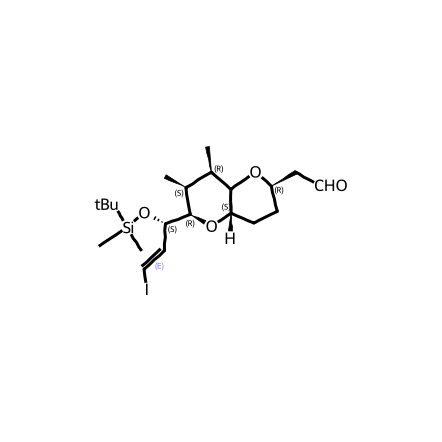 C[C@@H]1[C@H]([C@H](/C=C/I)O[Si](C)(C)C(C)(C)C)O[C@H]2CC[C@H](CC=O)OC2[C@@H]1C